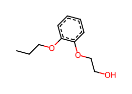 CCCOc1ccccc1OCCO